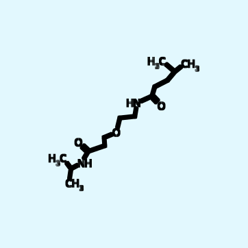 CC(C)CCC(=O)NCCOCCC(=O)NC(C)C